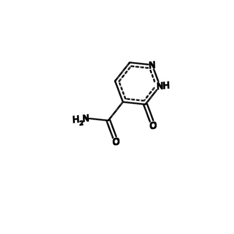 NC(=O)c1ccn[nH]c1=O